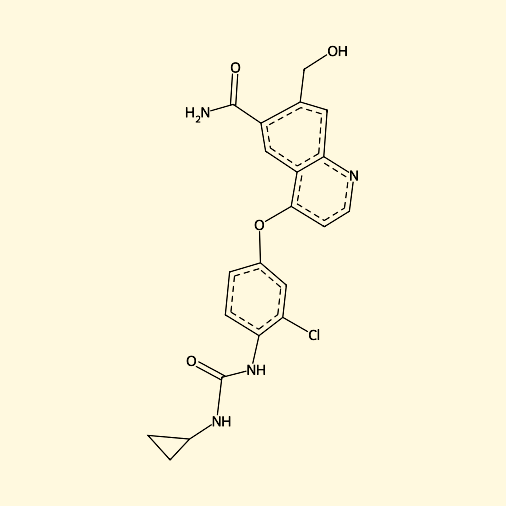 NC(=O)c1cc2c(Oc3ccc(NC(=O)NC4CC4)c(Cl)c3)ccnc2cc1CO